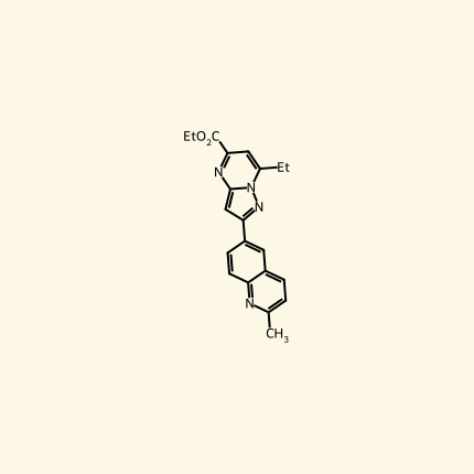 CCOC(=O)c1cc(CC)n2nc(-c3ccc4nc(C)ccc4c3)cc2n1